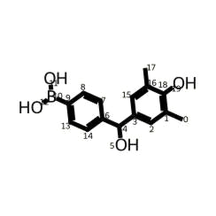 Cc1cc(C(O)c2ccc(B(O)O)cc2)cc(C)c1O